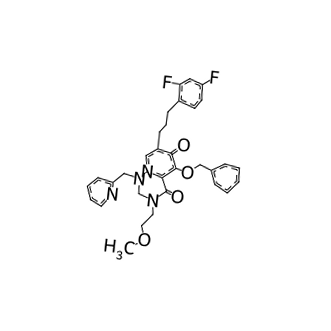 COCCN1CN(Cc2ccccn2)n2cc(CCCc3ccc(F)cc3F)c(=O)c(OCc3ccccc3)c2C1=O